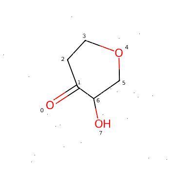 O=C1CCOCC1O